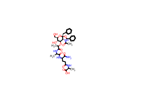 CC(=O)N[C@@H]1[C@@H](OC(C)C(=O)NC(C)C(=O)NC(CCC(=O)NC(C)C(=O)O)C(N)=O)[C@H](O)[C@@H](CO)O[C@]1(Cc1ccccc1)OCc1ccccc1